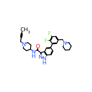 CC#CCN1CCC(NC(=O)c2n[nH]c3ccc(-c4cc(CN5CCCCC5)cc(F)c4F)cc23)CC1